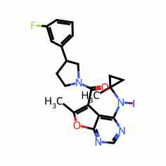 Cc1oc2ncnc(N(I)C3(C)CC3)c2c1C(=O)N1CCC(c2cccc(F)c2)C1